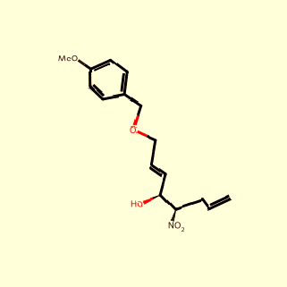 C=CC[C@H]([C@@H](O)/C=C/COCc1ccc(OC)cc1)[N+](=O)[O-]